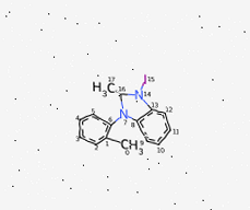 Cc1ccccc1N1c2ccccc2N(I)[C@H]1C